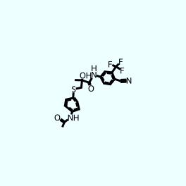 CC(=O)Nc1ccc(SCC(C)(O)C(=O)Nc2ccc(C#N)c(C(F)(F)F)c2)cc1